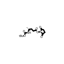 C[C@H](CCC(=O)ON1C(=O)CCC1=O)NC(=O)OC(C)(C)C